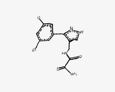 NC(=O)C(=O)Nc1c[nH]nc1-c1cc(Cl)cc(Cl)c1